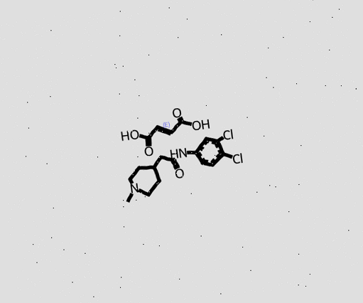 CN1CCC(CC(=O)Nc2ccc(Cl)c(Cl)c2)CC1.O=C(O)/C=C/C(=O)O